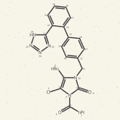 CCCCc1c(Cl)n(C(=O)CCC)c(=O)n1Cc1ccc(-c2ccccc2-c2nnn[nH]2)cc1